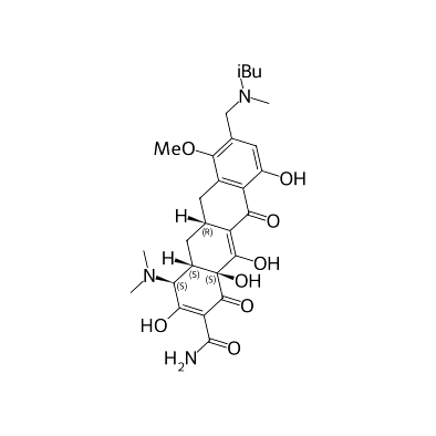 CCC(C)N(C)Cc1cc(O)c2c(c1OC)C[C@H]1C[C@H]3[C@H](N(C)C)C(O)=C(C(N)=O)C(=O)[C@@]3(O)C(O)=C1C2=O